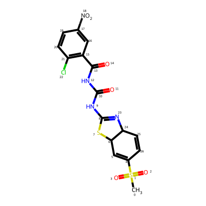 CS(=O)(=O)C1=CC2SC(NC(=O)NC(=O)c3cc([N+](=O)[O-])ccc3Cl)=NC2C=C1